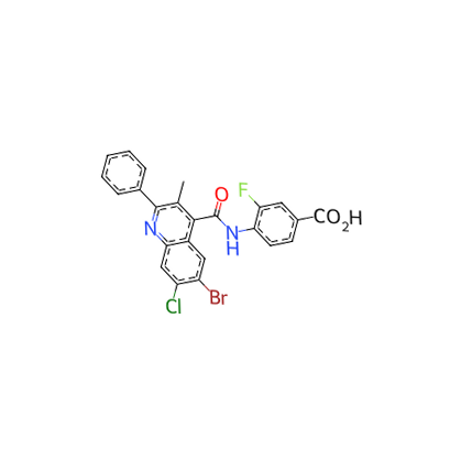 Cc1c(-c2ccccc2)nc2cc(Cl)c(Br)cc2c1C(=O)Nc1ccc(C(=O)O)cc1F